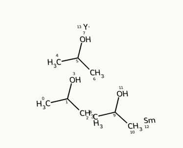 CC(C)O.CC(C)O.CC(C)O.[Sm].[Y]